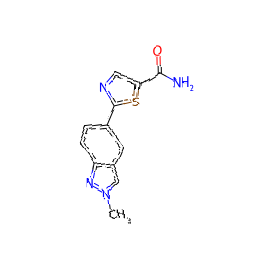 Cn1cc2cc(-c3ncc(C(N)=O)s3)ccc2n1